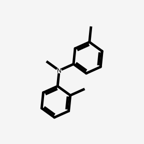 Cc1cccc(N(C)c2ccccc2C)c1